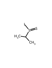 CC(C)S(=S)I